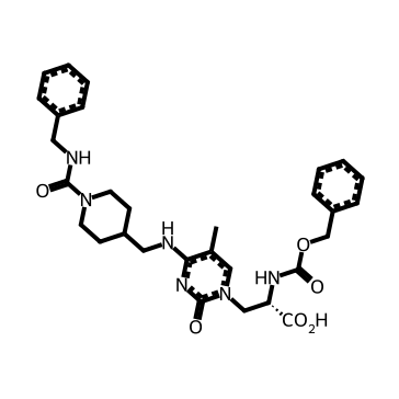 Cc1cn(C[C@H](NC(=O)OCc2ccccc2)C(=O)O)c(=O)nc1NCC1CCN(C(=O)NCc2ccccc2)CC1